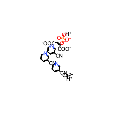 N#Cc1cccnc1.N#Cc1cccnc1.N#Cc1cccnc1.O=C([O-])/C=C\C(=O)[O-].O=P([O-])([O-])[O-].[Ca+2].[H+].[H+].[H+]